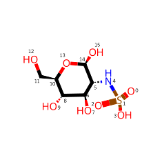 O=S(=O)(O)N[C@@H]1[C@@H](O)[C@H](O)[C@@H](CO)O[C@H]1O